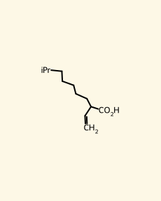 C=CC(CCCCCC(C)C)C(=O)O